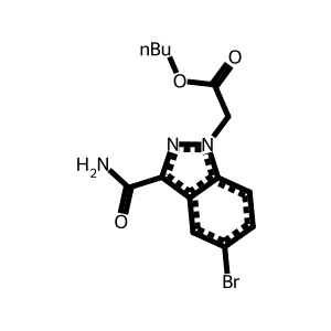 CCCCOC(=O)Cn1nc(C(N)=O)c2cc(Br)ccc21